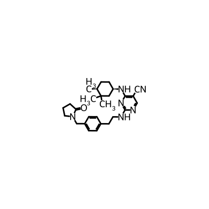 C[C@H]1CC[C@@H](Nc2nc(NCCc3ccc(CN4CCCC4=O)cc3)ncc2C#N)CC1(C)C